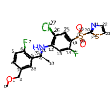 COCc1ccc(F)c([C@H](C)Nc2cc(F)c(S(=O)(=O)c3n[c]cs3)cc2Cl)c1